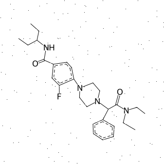 CCC(CC)NC(=O)c1ccc(N2CCN(C(C(=O)N(CC)CC)c3ccccc3)CC2)c(F)c1